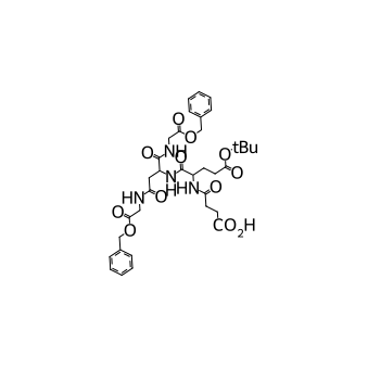 CC(C)(C)OC(=O)CCC(NC(=O)CCC(=O)O)C(=O)NC(CC(=O)NCC(=O)OCc1ccccc1)C(=O)NCC(=O)OCc1ccccc1